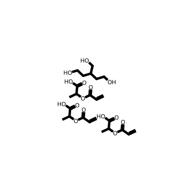 C=CC(=O)OC(C)C(=O)O.C=CC(=O)OC(C)C(=O)O.C=CC(=O)OC(C)C(=O)O.OCCC(CO)CCO